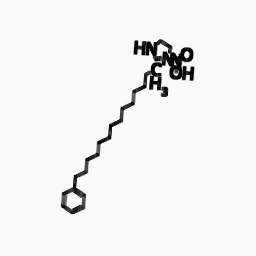 C1=NCCN1.CCCCCCCCCCCCCCc1ccccc1.O=NO